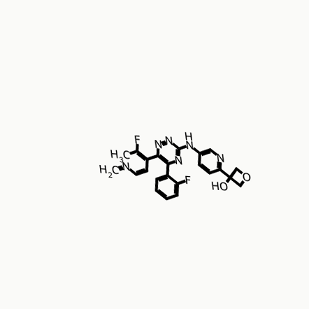 C=N/C=C\C(=C(/C)F)c1nnc(Nc2ccc(C3(O)COC3)nc2)nc1-c1ccccc1F